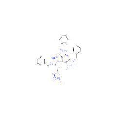 CN1NN(Cc2ccccc2)C=C1C(OCc1cn(P)nn1)(c1cn(Cc2ccccc2)nn1)c1cn(Cc2ccccc2)nn1